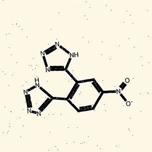 O=[N+]([O-])c1ccc(-c2nnn[nH]2)c(-c2nnn[nH]2)c1